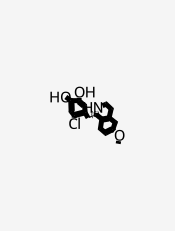 COC1=CCC2=C(CCN[C@H]2Cc2cc(O)c(O)cc2Cl)C1